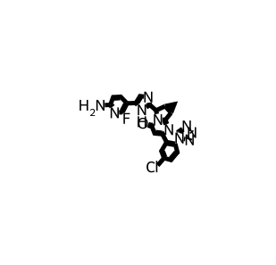 Nc1ccc(-c2cnc(C3C4C=C4c4nc(-c5cc(Cl)ccc5-n5cnnn5)cc(=O)n43)[nH]2)c(F)n1